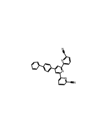 N#Cc1cccc(-c2cc(-c3ccc(-c4ccccc4)cc3)cc(-c3cccc(C#N)n3)n2)n1